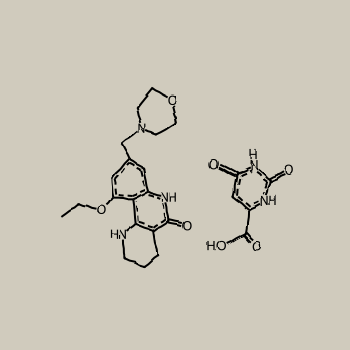 CCOc1cc(CN2CCOCC2)cc2[nH]c(=O)c3c(c12)NCCC3.O=C(O)c1cc(=O)[nH]c(=O)[nH]1